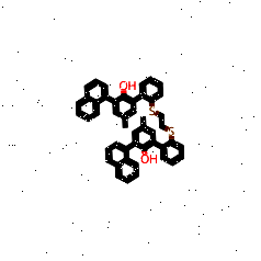 Cc1cc(-c2ccccc2SCCSc2ccccc2-c2cc(C)cc(-c3cccc4ccccc34)c2O)c(O)c(-c2cccc3ccccc23)c1